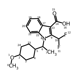 COC1CCC(C(C)n2c(C(F)F)c(C(=O)O)c3ccccc32)CC1